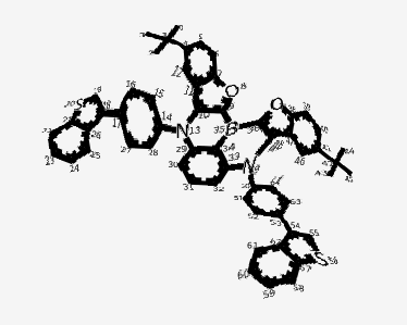 CC(C)(C)c1ccc2oc3c(c2c1)N(c1ccc(-c2csc4ccccc24)cc1)c1cccc2c1B3c1oc3ccc(C(C)(C)C)cc3c1N2c1ccc(-c2csc3ccccc23)cc1